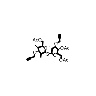 C#CCOC1[C@@H](OC(C)=O)C(COC(C)=O)O[C@@H](S[C@@H]2OC(COC(C)=O)[C@H](C)[C@H](OCC#C)C2C)[C@@H]1C